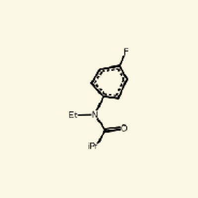 [CH2]CN(C(=O)C(C)C)c1ccc(F)cc1